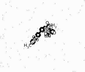 CN1CCN(S(=O)(=O)c2ccc(-c3ccc(C[C@H](NC(=O)C4(NC(=O)OC(C)(C)C)CCOCC4)C(N)=O)cc3)cc2)CC1